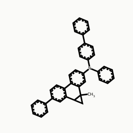 CC12CC1c1cc(-c3ccccc3)ccc1-c1ccc(N(c3ccccc3)c3ccc(-c4ccccc4)cc3)cc12